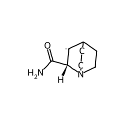 NC(=O)[C@@H]1[CH]C2CCN1CC2